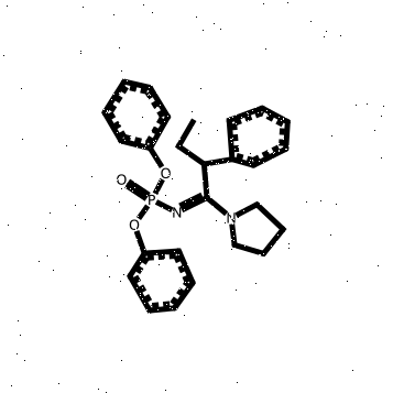 CCC(/C(=N\P(=O)(Oc1ccccc1)Oc1ccccc1)N1CCCC1)c1ccccc1